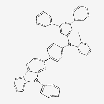 Cc1ccccc1N(c1ccc(-c2ccc3c4ccccc4n(-c4ccccc4)c3c2)cc1)c1cc(-c2ccccc2)cc(-c2ccccc2)c1